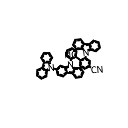 N#Cc1ccc(-c2ccccc2-n2c3ccccc3c3ccc(-n4c5ccccc5c5ccccc54)cc32)c(-n2c3ccccc3c3cccc(C#N)c32)c1